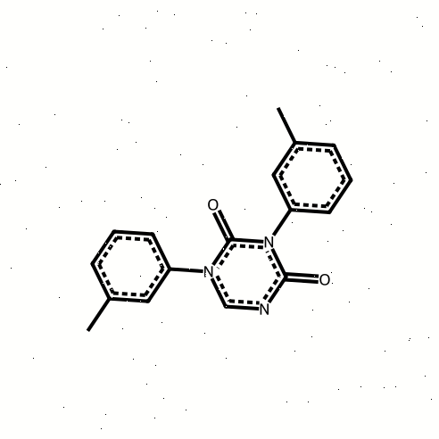 Cc1cccc(-n2cnc(=O)n(-c3cccc(C)c3)c2=O)c1